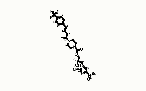 C[C@](O)(COC(=O)N1CCN(C(=O)CC=Cc2ccc(C(F)(F)F)cc2)CC1)Cn1cc([N+](=O)[O-])nc1Cl